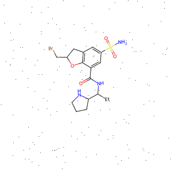 CCC(NC(=O)c1cc(S(N)(=O)=O)cc2c1OC(CBr)C2)C1CCCN1